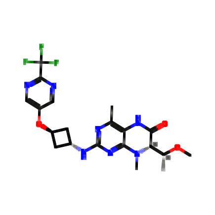 CO[C@H](C)[C@H]1C(=O)Nc2c(C)nc(N[C@H]3C[C@H](Oc4cnc(C(F)(F)F)nc4)C3)nc2N1C